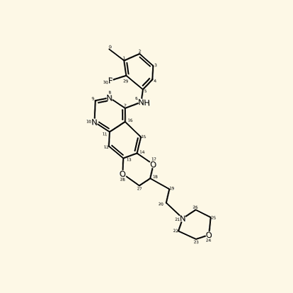 Cc1cccc(Nc2ncnc3cc4c(cc23)OC(CCN2CCOCC2)CO4)c1F